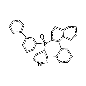 O=P1(c2cccc(-c3ccccc3)c2)c2ccncc2-c2ccccc2-c2c1ccc1ccccc21